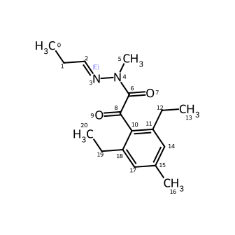 CC/C=N/N(C)C(=O)C(=O)c1c(CC)cc(C)cc1CC